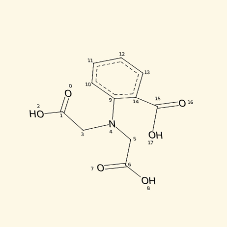 O=C(O)CN(CC(=O)O)c1ccccc1C(=O)O